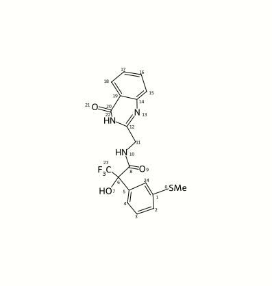 CSc1cccc(C(O)(C(=O)NCc2nc3ccccc3c(=O)[nH]2)C(F)(F)F)c1